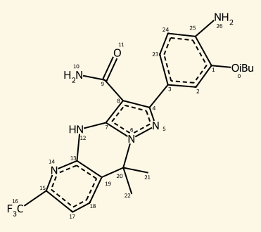 CC(C)COc1cc(-c2nn3c(c2C(N)=O)Nc2nc(C(F)(F)F)ccc2C3(C)C)ccc1N